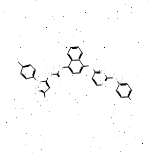 Cc1ccc(-n2nc(O)cc2NC(=O)Nc2ccc(Oc3ccnc(Nc4ccc(Cl)cc4)n3)c3ccccc23)cc1